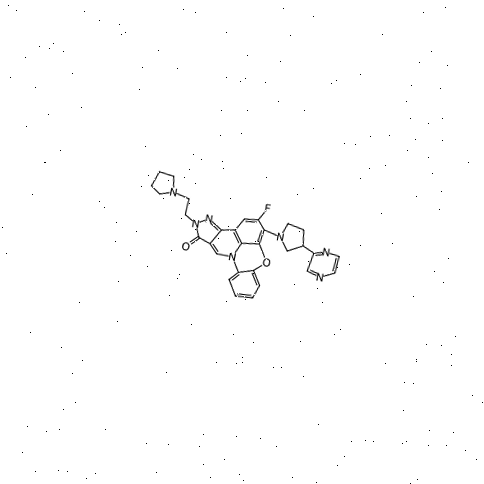 O=c1c2cn3c4ccccc4oc4c(N5CCC(c6cnccn6)C5)c(F)cc(c2nn1CCN1CCCC1)c43